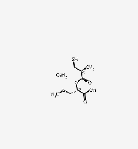 CSC[C@H](OC(=O)[C@H](C)CS)C(=O)O.[CaH2]